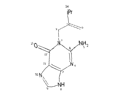 C=C(Cn1c(N)nc2[nH]cnc2c1=O)C(C)C